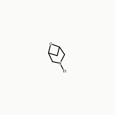 [CH2]CN1CC2CC(C1)O2